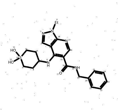 CCn1ncc2c(NC3CCS(O)(O)CC3)c(C(=O)NCc3ccccc3)cnc21